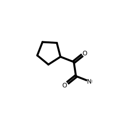 [N]C(=O)C(=O)C1CCCC1